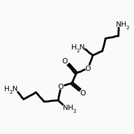 NCCCC(N)OC(=O)C(=O)OC(N)CCCN